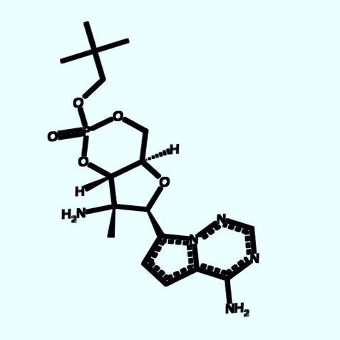 CC(C)(C)COP1(=O)OC[C@H]2O[C@@H](c3ccc4c(N)ncnn34)[C@](C)(N)[C@@H]2O1